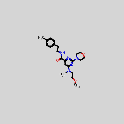 COCCN(C)c1cc(C(=O)NCCc2ccc(C)cc2)nc(N2CCOCC2)n1